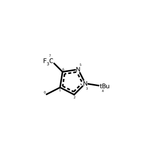 Cc1cn(C(C)(C)C)nc1C(F)(F)F